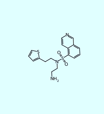 NCCN(CCc1cccs1)S(=O)(=O)c1cccc2cnccc12